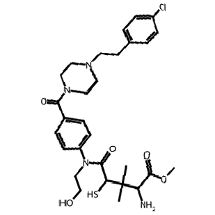 COC(=O)C(N)C(C)(C)C(S)C(=O)N(CCO)c1ccc(C(=O)N2CCN(CCc3ccc(Cl)cc3)CC2)cc1